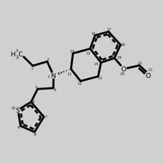 CCCN(CCc1cccs1)[C@H]1CCc2c(cccc2OC=O)C1